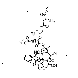 CCOC(=O)[C@@H](N)CC(=O)OCC(=O)OC(C(=O)O[C@H]1C[C@@]2(O)[C@@H](OC(=O)c3ccccc3)[C@@H]3[C@]4(OC(C)=O)CO[C@@H]4C[C@H](O)[C@@]3(C)C(=O)[C@H](O)C(=C1C)C2(C)C)C(NC(=O)OC(C)(C)C)C1CC1